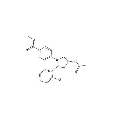 COC(=O)c1ccc(N2CC(OC(C)=O)CC2c2ccccc2Cl)cc1